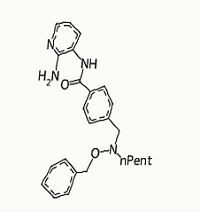 CCCCCN(Cc1ccc(C(=O)Nc2cccnc2N)cc1)OCc1ccccc1